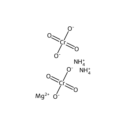 [Mg+2].[NH4+].[NH4+].[O]=[Cr](=[O])([O-])[O-].[O]=[Cr](=[O])([O-])[O-]